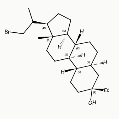 CC[C@@]1(O)CC[C@H]2[C@@H](CC[C@@H]3[C@@H]2CC[C@]2(C)[C@@H](C(C)CBr)CC[C@@H]32)C1